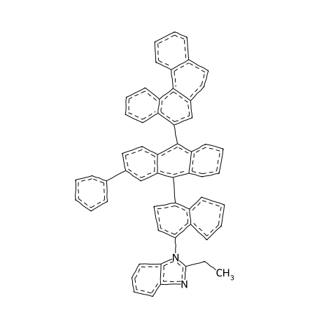 CCc1nc2ccccc2n1-c1ccc(-c2c3ccccc3c(-c3cc4ccc5ccccc5c4c4ccccc34)c3ccc(-c4ccccc4)cc23)c2ccccc12